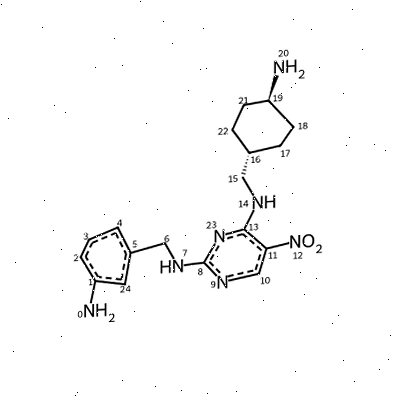 Nc1cccc(CNc2ncc([N+](=O)[O-])c(NC[C@H]3CC[C@H](N)CC3)n2)c1